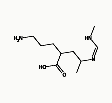 CN/C=N\C(C)CC(CCCN)C(=O)O